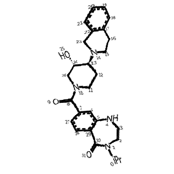 CC(C)N1CCNc2cc(C(=O)N3CC[C@H](N4CCc5ccccc5C4)[C@@H](O)C3)ccc2C1=O